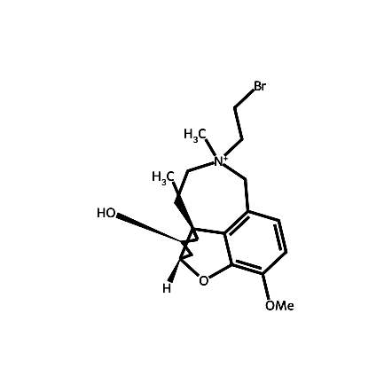 COc1ccc2c3c1O[C@H]1C[C@@H](O)C(C)[C@@]31CC[N+](C)(CCBr)C2